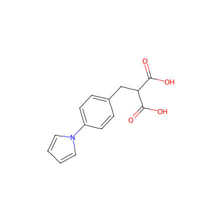 O=C(O)C(Cc1ccc(-n2cccc2)cc1)C(=O)O